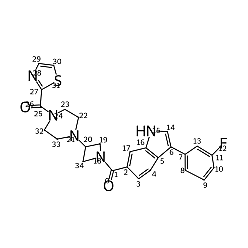 O=C(c1ccc2c(-c3cccc(F)c3)c[nH]c2c1)N1CC(N2CCN(C(=O)c3nccs3)CC2)C1